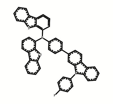 Fc1ccc(-n2c3ccccc3c3ccc(-c4ccc(N(C5=c6sc7ccccc7c6=C=C=C5)c5cccc6c5sc5ccccc56)cc4)cc32)cc1